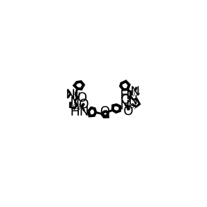 CN(C)[C@@H](C(=O)N1CCC[C@H]1C(=O)Nc1ccc(-c2ccc(-c3ccc(NC(=O)[C@@H]4CCCN4C(=O)[C@@H](c4ccccc4)N(C)C)cc3)o2)cc1)c1ccccc1